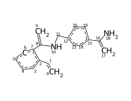 C=Cc1ccccc1C(=C)NCc1ccc(C(=C)N)cc1